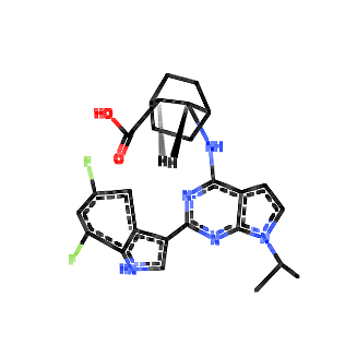 CC(C)n1ccc2c(N[C@H]3C4CCC(CC4)[C@@H]3C(=O)O)nc(-c3c[nH]c4c(F)cc(F)cc34)nc21